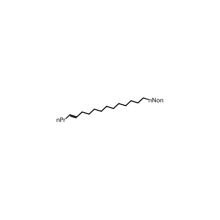 [CH2]CCC=CCCCCCCCCCCCCCCCCCCC[CH2]